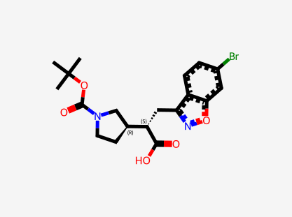 CC(C)(C)OC(=O)N1CC[C@H]([C@H](Cc2noc3cc(Br)ccc23)C(=O)O)C1